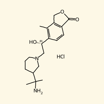 Cc1c([C@@H](O)CN2CCCC(C(C)(C)N)C2)ccc2c1COC2=O.Cl